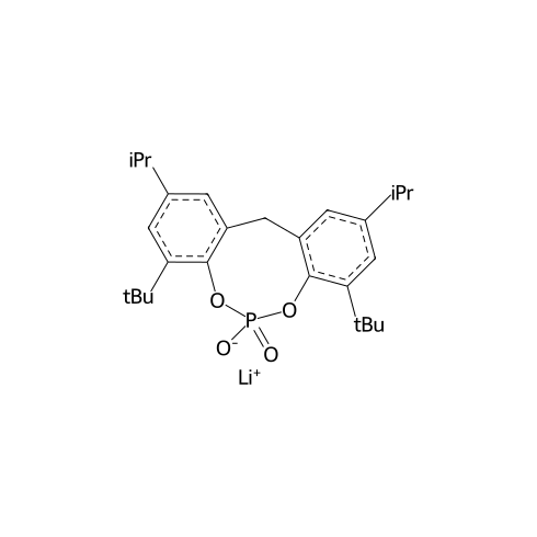 CC(C)c1cc2c(c(C(C)(C)C)c1)OP(=O)([O-])Oc1c(cc(C(C)C)cc1C(C)(C)C)C2.[Li+]